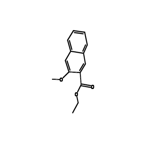 CCOC(=O)c1cc2ccccc2cc1OC